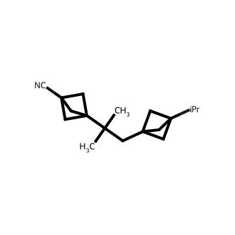 CC(C)C12CC(CC(C)(C)C34CC(C#N)(C3)C4)(C1)C2